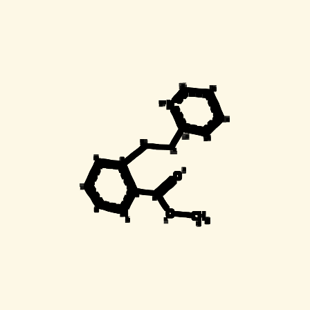 COC(=O)c1ncccc1CCc1ccccn1